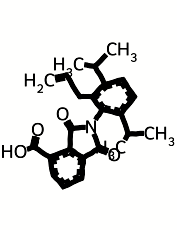 C=CCc1c(C(C)C)ccc(C(C)C)c1N1C(=O)c2cccc(C(=O)O)c2C1=O